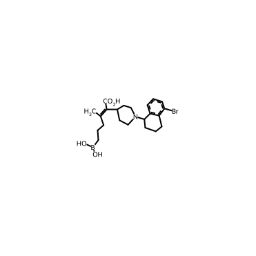 C/C(CCCB(O)O)=C(\C(=O)O)C1CCN(C2CCCc3c(Br)cccc32)CC1